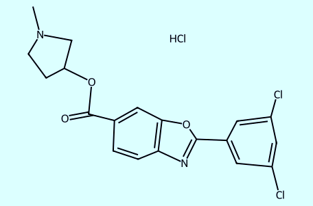 CN1CCC(OC(=O)c2ccc3nc(-c4cc(Cl)cc(Cl)c4)oc3c2)C1.Cl